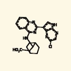 O=C(O)C1C2CCC(CC2)C1Nc1nc(-c2c[nH]c3ncc(Cl)nc23)nc2ccccc12